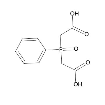 O=C(O)CP(=O)(CC(=O)O)c1ccccc1